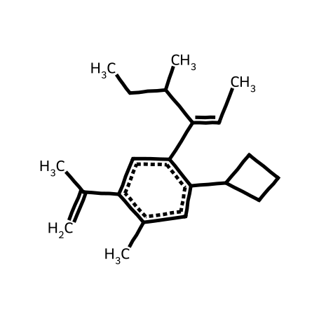 C=C(C)c1cc(/C(=C/C)C(C)CC)c(C2CCC2)cc1C